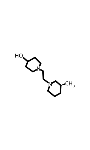 C[C@H]1CCCN(CCN2CCC(O)CC2)C1